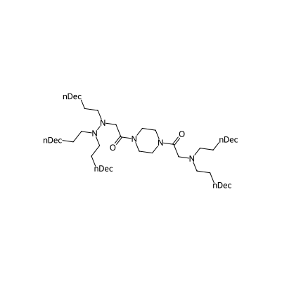 CCCCCCCCCCCCN(CCCCCCCCCCCC)CC(=O)N1CCN(C(=O)CN(CCCCCCCCCCCC)N(CCCCCCCCCCCC)CCCCCCCCCCCC)CC1